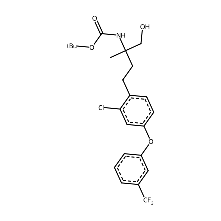 CC(CO)(CCc1ccc(Oc2cccc(C(F)(F)F)c2)cc1Cl)NC(=O)OC(C)(C)C